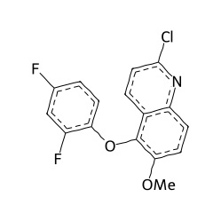 COc1ccc2nc(Cl)ccc2c1Oc1ccc(F)cc1F